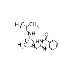 CCN(CC(=O)NCC(C)C)Cc1nc2ccccc2c(=O)[nH]1